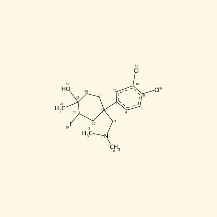 CN(C)CC1(c2ccc(Cl)c(Cl)c2)CCC(C)(O)C(I)C1